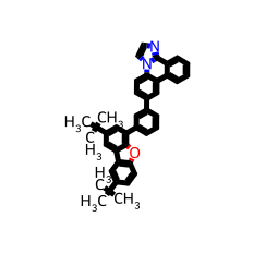 CC(C)(C)c1ccc2oc3c(-c4cccc(-c5ccc6c(c5)c5ccccc5c5nccn65)c4)cc(C(C)(C)C)cc3c2c1